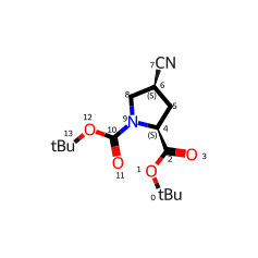 CC(C)(C)OC(=O)[C@@H]1C[C@H](C#N)CN1C(=O)OC(C)(C)C